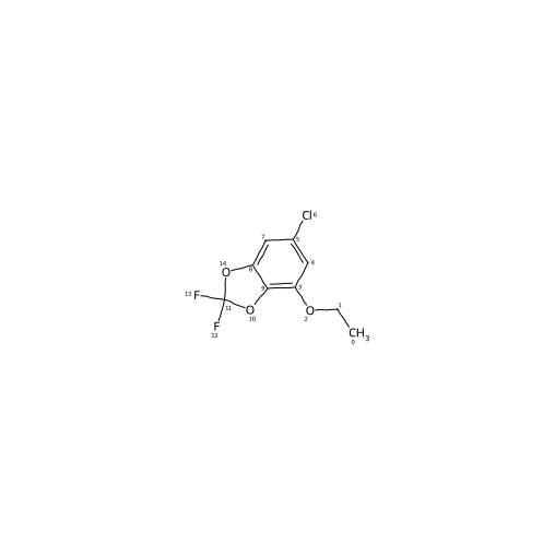 CCOc1cc(Cl)cc2c1OC(F)(F)O2